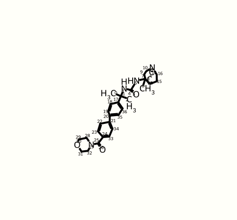 CC(C)(NC(=O)NC1(C)CCN2CCC1CC2)c1ccc(-c2ccc(C(=O)N3CCOCC3)cc2)cc1